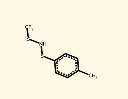 Cc1ccc(SNSC(F)(F)F)cc1